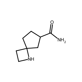 NC(=O)C1CCC2(CCN2)C1